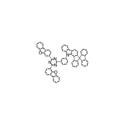 c1cc(-c2nc(-c3ccc4c(c3)oc3ccccc34)nc(-c3cccc4c3oc3ccccc34)n2)cc(-n2c3ccccc3c3ccc4c(c32)-c2ccccc2C42c3ccccc3-c3ccccc32)c1